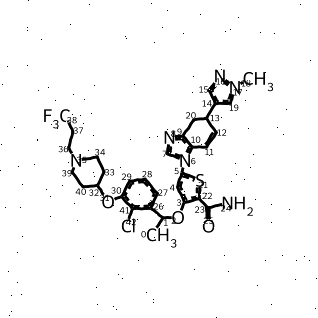 CC(Oc1cc(-n2cnc3c2C=CC(c2cnn(C)c2)C3)sc1C(N)=O)c1cccc(OC2CCN(CCC(F)(F)F)CC2)c1Cl